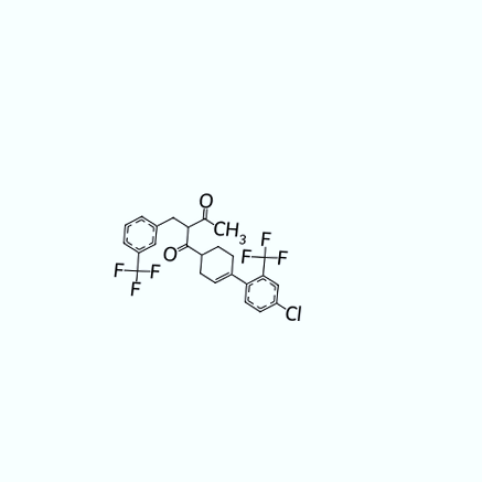 CC(=O)C(Cc1cccc(C(F)(F)F)c1)C(=O)C1CC=C(c2ccc(Cl)cc2C(F)(F)F)CC1